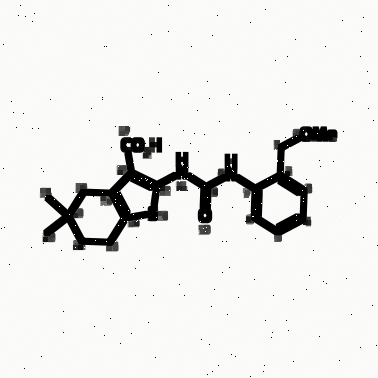 COCc1ccccc1NC(=O)Nc1sc2c(c1C(=O)O)CC(C)(C)CC2